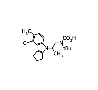 Cc1ccc2c(c1Cl)c1c(n2C(C)CN(C(=O)O)C(C)(C)C)CCC1